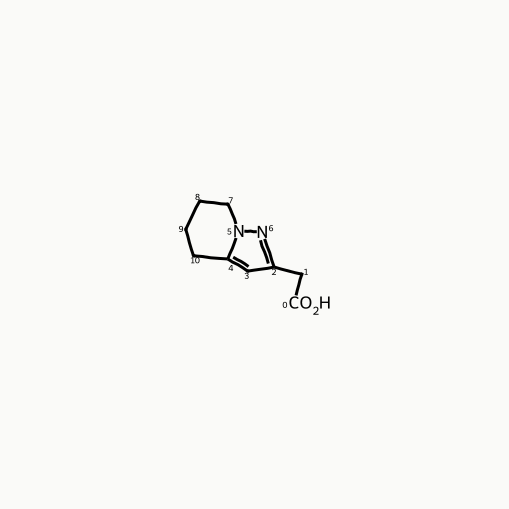 O=C(O)Cc1cc2n(n1)CCCC2